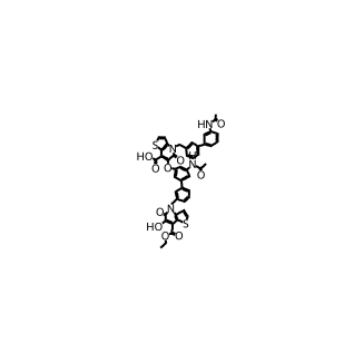 CCOC(=O)c1c(O)c(=O)n(Cc2cccc(-c3cc(NC(C)=O)cc(Oc4c(C(=O)O)c5sccc5n(Cc5cccc(-c6cccc(NC(C)=O)c6)c5)c4=O)c3)c2)c2ccsc12